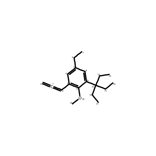 C=C=Cc1cc(CC)cc(C(CC)(CC)CC)c1OC